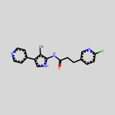 N#Cc1c(-c2ccncc2)c[nH]c1NC(=O)CCc1ccc(Cl)nc1